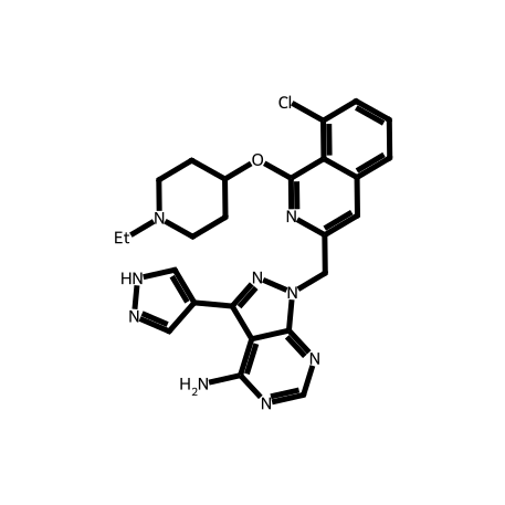 CCN1CCC(Oc2nc(Cn3nc(-c4cn[nH]c4)c4c(N)ncnc43)cc3cccc(Cl)c23)CC1